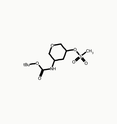 CC(C)(C)OC(=O)NC1COCC(OS(C)(=O)=O)C1